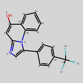 Oc1cc2ncc(-c3ccc(C(F)(F)F)cc3)n2c2ccccc12